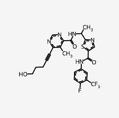 Cc1c(C#CCCCO)ncnc1C(=O)NC(C)c1ncc(C(=O)Nc2ccc(F)c(C(F)(F)F)c2)s1